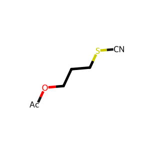 CC(=O)OCCCSC#N